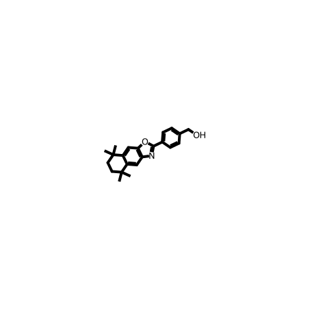 CC1(C)CCC(C)(C)c2cc3oc(-c4ccc(CO)cc4)nc3cc21